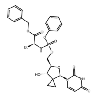 CC[C@H](NP(=O)(OC[C@H]1O[C@@H](n2ccc(=O)[nH]c2=O)C2(CC2)[C@@H]1O)Oc1ccccc1)C(=O)OCc1ccccc1